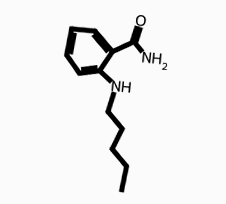 CCCCCNc1ccccc1C(N)=O